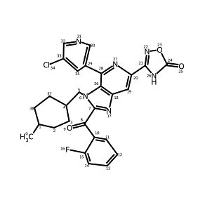 CC1CCC(Cn2c(C(=O)c3ccccc3F)nc3cc(-c4noc(=O)[nH]4)nc(-c4cncc(Cl)c4)c32)CC1